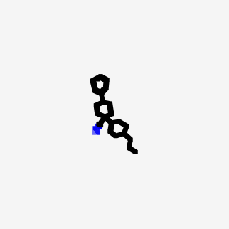 CCCC1CC=C(C2(C#N)C=CC(c3ccccc3)C=C2)CC1